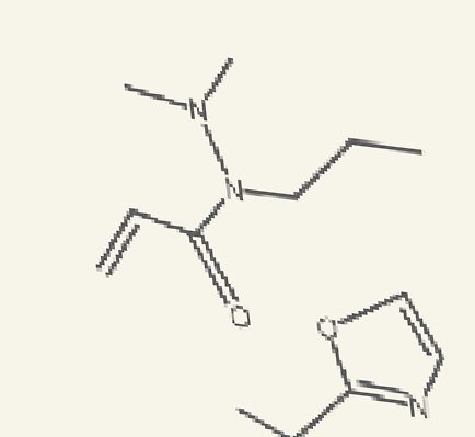 C=CC(=O)N(CCC)N(C)C.CCc1ncco1